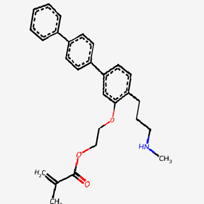 C=C(C)C(=O)OCCOc1cc(-c2ccc(-c3ccccc3)cc2)ccc1CCCNC